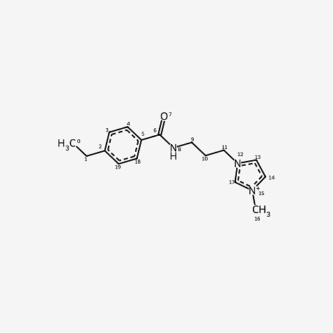 CCc1ccc(C(=O)NCCCn2cc[n+](C)c2)cc1